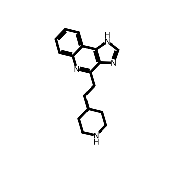 c1ccc2c(c1)nc(CCC1CCNCC1)c1nc[nH]c12